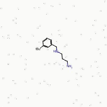 CC(C)(C)c1cccc(CNCCCN)c1